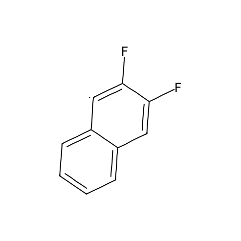 Fc1[c]c2ccccc2cc1F